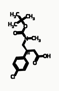 CN(C[C@@H](CC(=O)O)c1ccc(Cl)cc1)C(=O)OC(C)(C)C